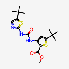 COC(=O)c1sc(C(C)(C)C)cc1NC(=O)Nc1ncc(C(C)(C)C)s1